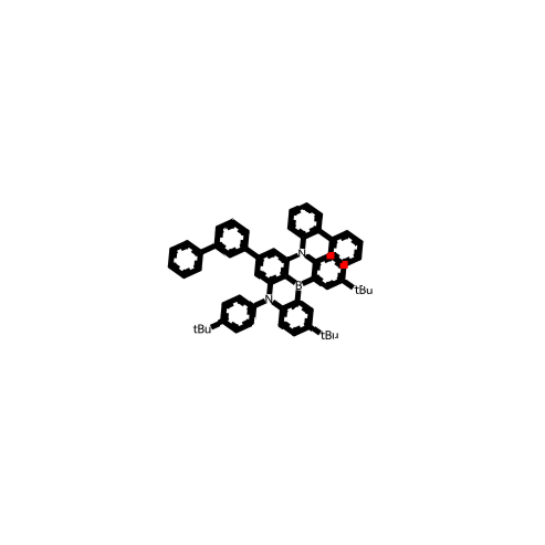 CC(C)(C)c1ccc(N2c3ccc(C(C)(C)C)cc3B3c4cc(C(C)(C)C)ccc4N(c4ccccc4-c4ccccc4)c4cc(-c5cccc(-c6ccccc6)c5)cc2c43)cc1